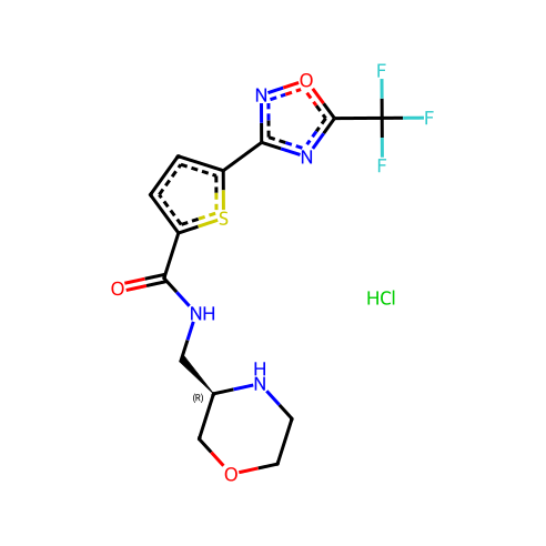 Cl.O=C(NC[C@@H]1COCCN1)c1ccc(-c2noc(C(F)(F)F)n2)s1